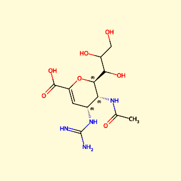 CC(=O)N[C@@H]1[C@H](NC(=N)N)C=C(C(=O)O)O[C@H]1C(O)C(O)CO